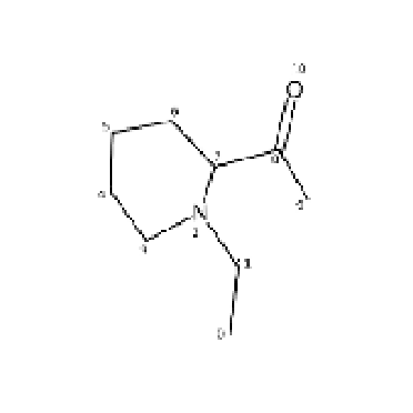 C[CH]N1CCCCC1C(C)=O